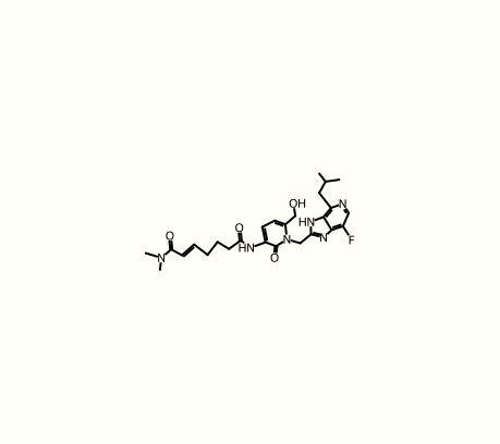 CC(C)Cc1ncc(F)c2nc(Cn3c(CO)ccc(NC(=O)CCC/C=C/C(=O)N(C)C)c3=O)[nH]c12